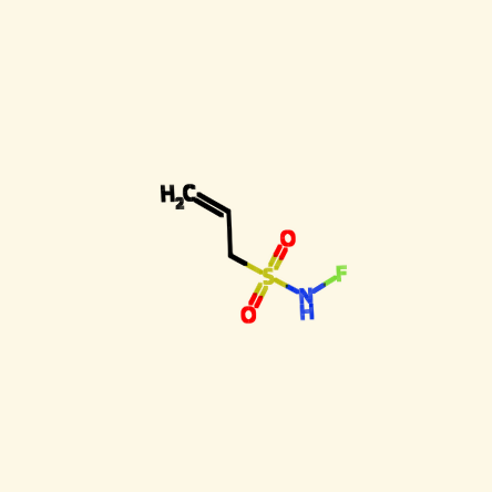 C=CCS(=O)(=O)NF